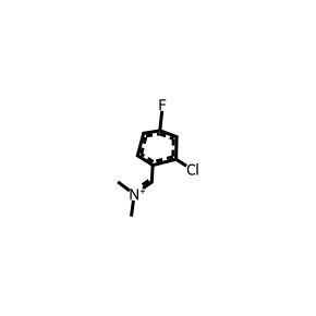 C[N+](C)=Cc1ccc(F)cc1Cl